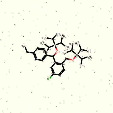 CCc1ccc(C(O[Si](C(C)C)(C(C)C)C(C)C)c2cc(Br)ccc2CO[Si](C(C)C)(C(C)C)C(C)C)cc1